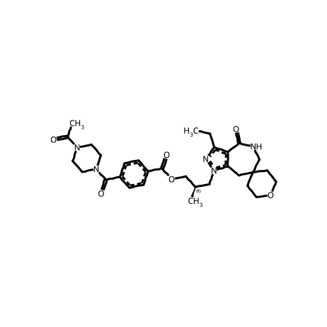 CCc1nn(C[C@@H](C)COC(=O)c2ccc(C(=O)N3CCN(C(C)=O)CC3)cc2)c2c1C(=O)NCC1(CCOCC1)C2